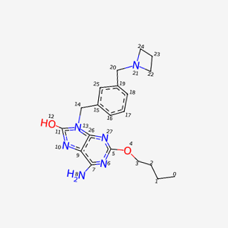 CCCCOc1nc(N)c2nc(O)n(Cc3cccc(CN4CCC4)c3)c2n1